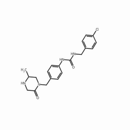 CC1CN(Cc2ccc(NC(=O)NCc3ccc(Cl)cc3)cc2)C(=O)CN1